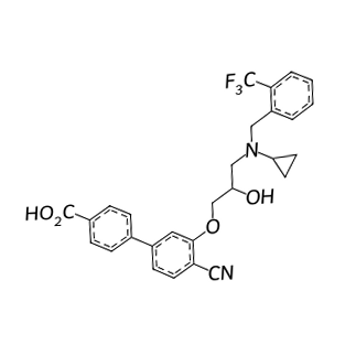 N#Cc1ccc(-c2ccc(C(=O)O)cc2)cc1OCC(O)CN(Cc1ccccc1C(F)(F)F)C1CC1